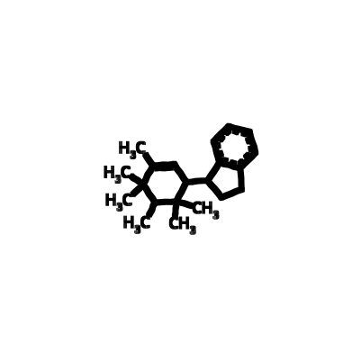 CC1=CC(C2CCc3ccccc32)C(C)(C)C(C)C1(C)C